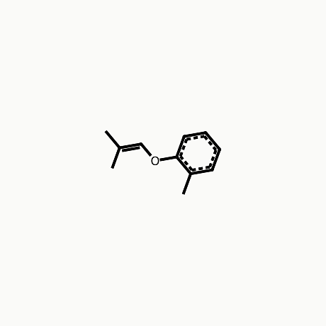 CC(C)=COc1ccccc1C